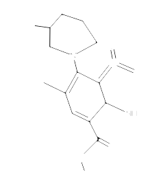 COC(=O)C1=CC(C)=C(N2CCCC(O)C2)C(=S(=O)=O)C1N